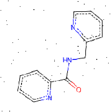 O=C(NCc1ccccn1)c1ccccn1